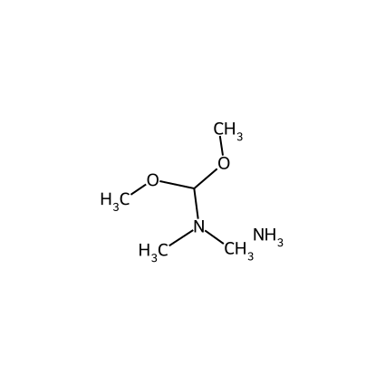 COC(OC)N(C)C.N